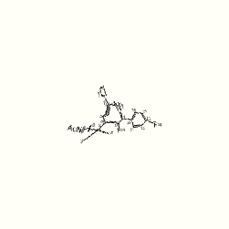 CC(=O)NC(C)(C)c1cc(Cl)nc(-c2ccc(F)cc2)c1F